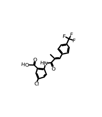 C/C(=C\c1ccc(C(F)(F)F)cc1)C(=O)Nc1ccc(Cl)cc1C(=O)O